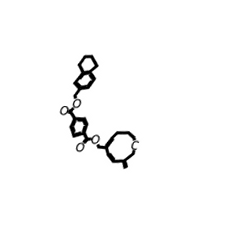 C=C1/C=C\C(COC(=O)c2ccc(C(=O)OCc3ccc4c(c3)CCCC4)cc2)=C/CCCCC1